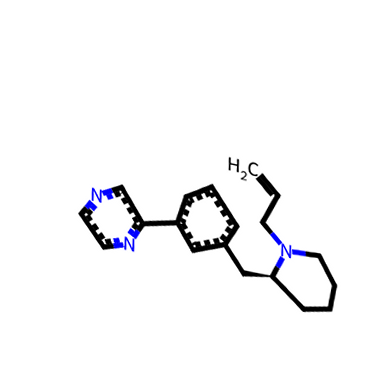 C=CCN1CCCC[C@H]1Cc1cccc(-c2cnccn2)c1